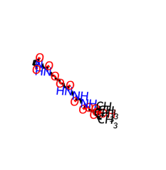 CCC(CO)OC(COC(=O)NCCC(=O)NCCNC(=O)CCOCCOCCNC(=O)CCN1C(=O)C=CC1=O)OC(C)(C)C